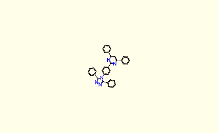 c1ccc(-c2cc(-c3ccccc3)nc(-c3ccc(-n4c(-c5ccccc5)nnc4-c4ccccc4)cc3)n2)cc1